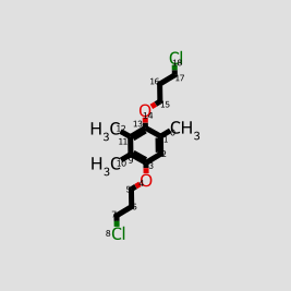 Cc1cc(OCCCCl)c(C)c(C)c1OCCCCl